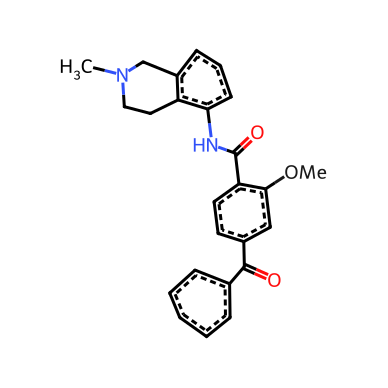 COc1cc(C(=O)c2ccccc2)ccc1C(=O)Nc1cccc2c1CCN(C)C2